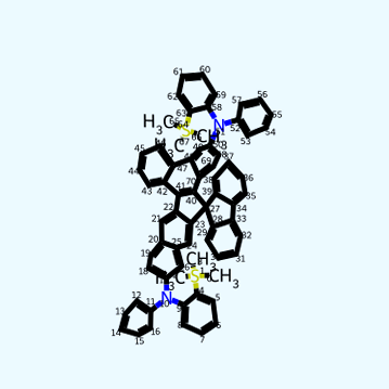 CS(C)(C)c1ccccc1N(c1ccccc1)c1ccc2cc3c(cc2c1)C1(c2ccccc2-c2ccccc21)c1c-3c2ccccc2c2cc(N(c3ccccc3)c3ccccc3S(C)(C)C)ccc12